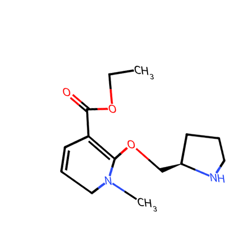 CCOC(=O)C1=C(OC[C@H]2CCCN2)N(C)CC=C1